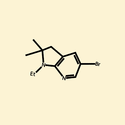 CCN1c2ncc(Br)cc2CC1(C)C